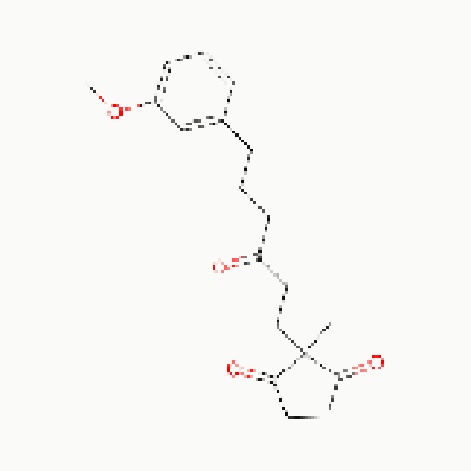 COc1cccc(CCCC(=O)CCC2(C)C(=O)CCC2=O)c1